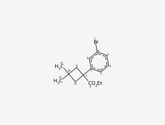 CCOC(=O)C1(c2cccc(Br)c2)CC(C)(C)C1